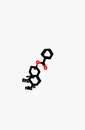 CCCC[C@@H]1CC=C2C[C@@H](OC(=O)c3ccccc3)CC[C@]2(C)[C@H]1CC